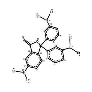 CCN(CC)c1cccc(C2(c3cccc(N(CC)CC)c3)OC(=O)c3cc(N(CC)CC)ccc32)c1